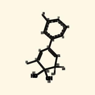 CC1=CC(c2cccc(C)c2)=CC(C)(C)C1(O)O